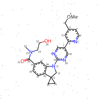 COCc1ccnc(-c2cnc(N3CC4(CC4)c4ccc(C(=O)N(C)CCO)cc43)nc2)c1